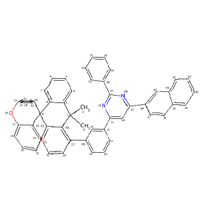 CC1(C)c2ccccc2C2(c3ccccc3Oc3ccccc32)c2cccc(-c3cccc(-c4cc(-c5ccc6ccccc6c5)nc(-c5ccccc5)n4)c3)c21